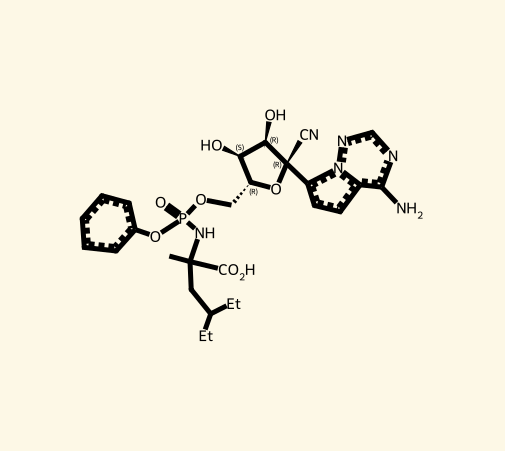 CCC(CC)CC(C)(NP(=O)(OC[C@H]1O[C@@](C#N)(c2ccc3c(N)ncnn23)[C@H](O)[C@@H]1O)Oc1ccccc1)C(=O)O